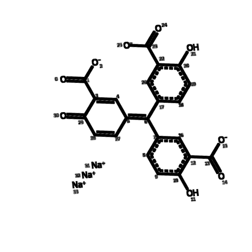 O=C([O-])C1=CC(=C(c2ccc(O)c(C(=O)[O-])c2)c2ccc(O)c(C(=O)[O-])c2)C=CC1=O.[Na+].[Na+].[Na+]